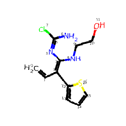 C=C/C(=C(\N=C(/N)Cl)NCCO)c1cccs1